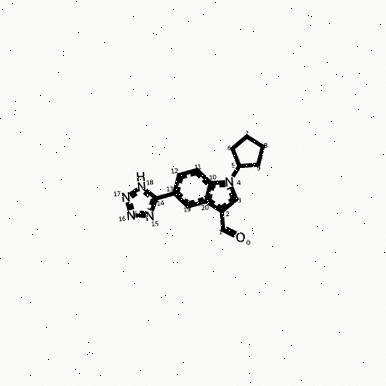 O=Cc1cn(C2CCCC2)c2ccc(-c3nnn[nH]3)cc12